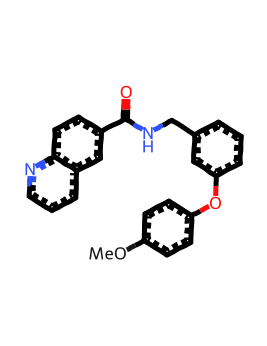 COc1ccc(Oc2cccc(CNC(=O)c3ccc4ncccc4c3)c2)cc1